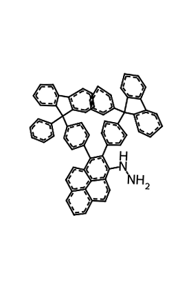 NNc1c(-c2ccc(C3(c4ccccc4)c4ccccc4-c4ccccc43)cc2)c(-c2ccc(C3(c4ccccc4)c4ccccc4-c4ccccc43)cc2)c2ccc3cccc4ccc1c2c43